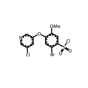 COc1cc(S(=O)(=O)Cl)c(Br)cc1Oc1cncc(Cl)c1